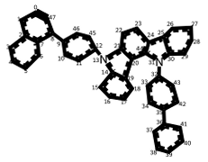 c1cc2ccccc2c(-c2ccc(-n3c4ccccc4c4c3ccc3c5ccccc5n(-c5ccc(-c6ccccc6)cc5)c34)cc2)c#1